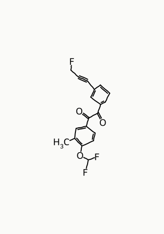 Cc1cc(C(=O)C(=O)c2cccc(C#CCF)c2)ccc1OC(F)F